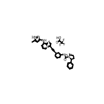 Cc1cc(Nc2cccn3c(C#Cc4cccc(NC(=O)N5N=CCC5c5ccccc5)c4)cnc23)n[nH]1.O=C(O)C(F)(F)F